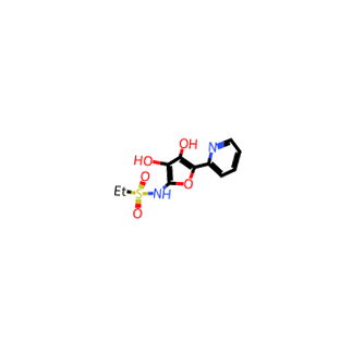 CCS(=O)(=O)Nc1oc(-c2ccccn2)c(O)c1O